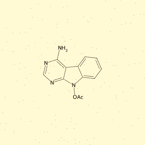 CC(=O)On1c2ccccc2c2c(N)ncnc21